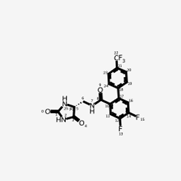 O=C1NC(=O)[C@@H](CNC(=O)c2cc(F)c(F)cc2-c2ccc(C(F)(F)F)cc2)N1